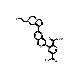 CNC(=O)c1ncc(C(N)=O)cc1-c1cc2nc(-c3cnn4c3CN(CCF)CC4)ccc2cn1